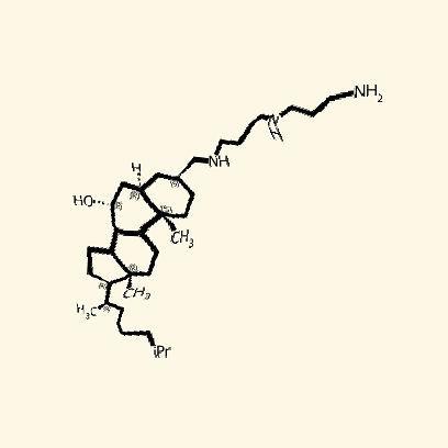 CC(C)CCC[C@@H](C)[C@H]1CCC2C3C(CC[C@@]21C)[C@@]1(C)CC[C@H](CNCCCNCCCN)C[C@@H]1C[C@H]3O